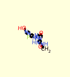 C=CC(=O)Nc1cncc(-n2ccc(=O)c3cnc(Nc4ccc(N5CCN(CCO)CC5)c(F)c4)nc32)c1